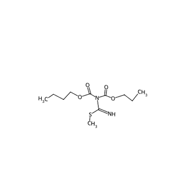 CCCCOC(=O)N(C(=N)SC)C(=O)OCCC